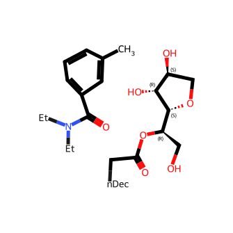 CCCCCCCCCCCC(=O)O[C@H](CO)[C@H]1OC[C@H](O)[C@H]1O.CCN(CC)C(=O)c1cccc(C)c1